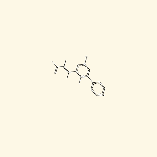 C=C(C)/C(C)=C(\C)c1cc(F)cc(-c2ccncc2)c1C